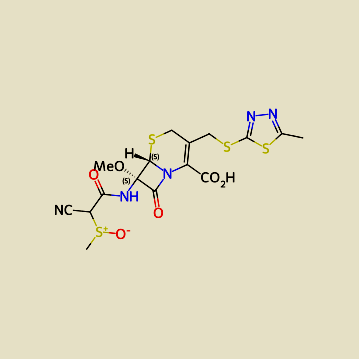 CO[C@@]1(NC(=O)C(C#N)[S+](C)[O-])C(=O)N2C(C(=O)O)=C(CSc3nnc(C)s3)CS[C@H]21